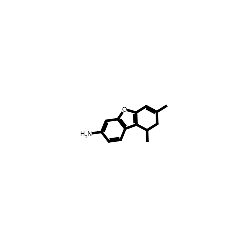 CC1=Cc2oc3cc(N)ccc3c2C(C)C1